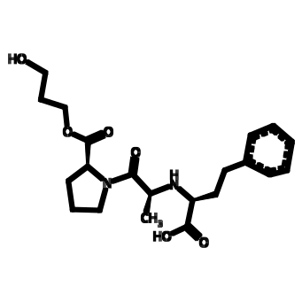 C[C@H](N[C@@H](CCc1ccccc1)C(=O)O)C(=O)N1CCC[C@H]1C(=O)OCCCO